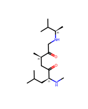 CN[C@@H](CC(C)C)C(=O)C[C@@H](C)C(=O)CN[C@H](C)C(C)C